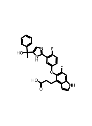 CC(O)(c1ccccc1)c1cnc(-c2cc(Oc3c(F)cc4[nH]ccc4c3CCC(=O)O)ccc2F)[nH]1